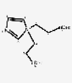 CCCCCCCCCCCC[N+]1(CCCCCCCCCCCC)C=CN=C1